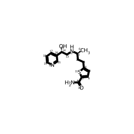 C[C@@H](CCc1ccc(C(N)=O)s1)NC[C@@H](O)c1cccnc1